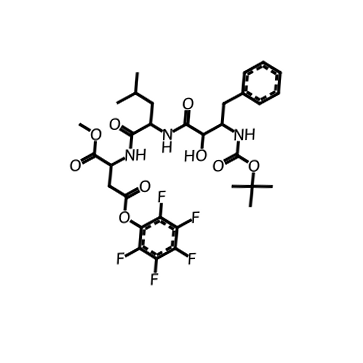 COC(=O)C(CC(=O)Oc1c(F)c(F)c(F)c(F)c1F)NC(=O)C(CC(C)C)NC(=O)C(O)C(Cc1ccccc1)NC(=O)OC(C)(C)C